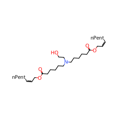 CCCCC/C=C\COC(=O)CCCCCN(CCO)CCCCCC(=O)OC/C=C\CCCCC